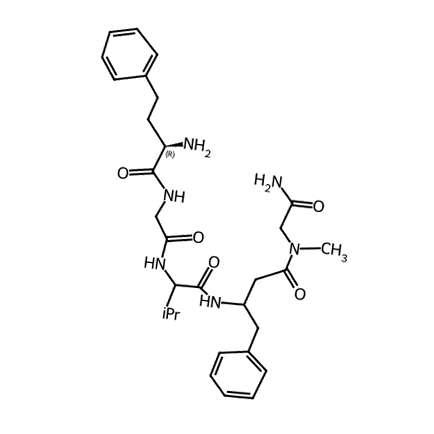 CC(C)C(NC(=O)CNC(=O)[C@H](N)CCc1ccccc1)C(=O)NC(CC(=O)N(C)CC(N)=O)Cc1ccccc1